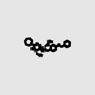 CC(C)C[C@H](NC(=O)N1CCCCCC1)C(=O)N[C@H](COC(C)(C)C)Cc1ccc(OCc2ccccc2)cc1